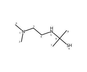 CN(C)CCNC(C)(C)S